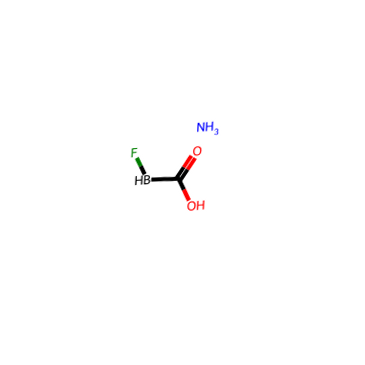 N.O=C(O)BF